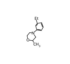 CCc1cccc(N2CCOC(C)C2)c1